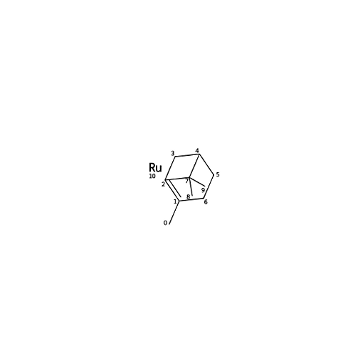 CC1=C2CC(CC1)C2(C)C.[Ru]